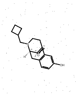 C[C@@]12OCCC[C@@]13CCN(CC1CCC1)[C@@H]2Cc1ccc(O)cc13